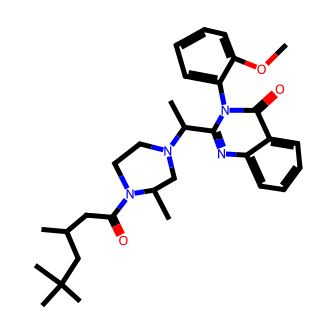 COc1ccccc1-n1c(C(C)N2CCN(C(=O)CC(C)CC(C)(C)C)C(C)C2)nc2ccccc2c1=O